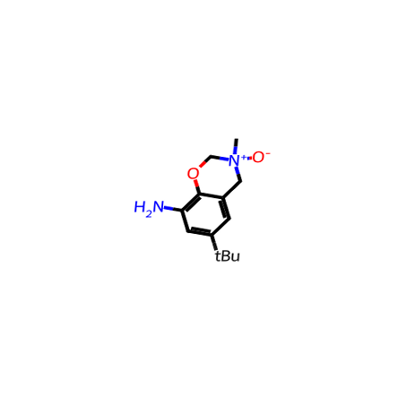 CC(C)(C)c1cc(N)c2c(c1)C[N+](C)([O-])CO2